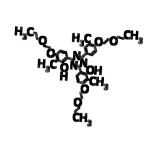 CCCOCCOc1ccc(-c2nc(-c3ccc(OCCOCCC)c(C)c3O)nc(-c3ccc(OCCOCCC)c(C)c3O)n2)cc1C